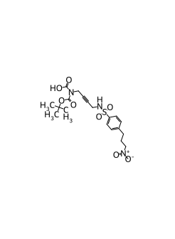 CC(C)(C)OC(=O)N(CC#CCNS(=O)(=O)c1ccc(CCC[N+](=O)[O-])cc1)C(=O)O